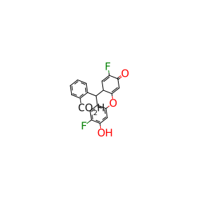 O=C1C=C2Oc3cc(O)c(F)cc3C(c3ccccc3C(=O)O)C2C=C1F